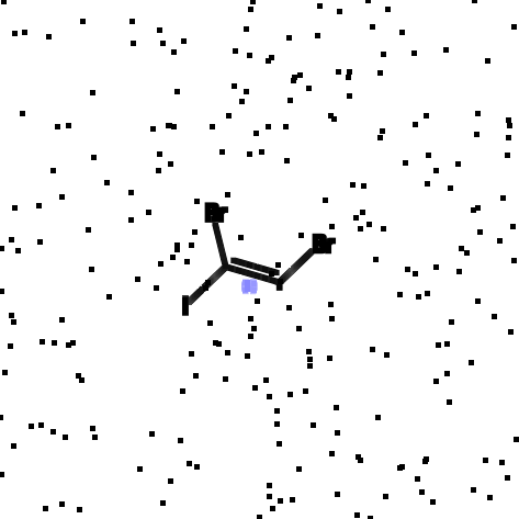 Br/[C]=C(\Br)I